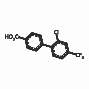 O=C(O)c1ccc(-c2ccc(C(F)(F)F)cc2Cl)cc1